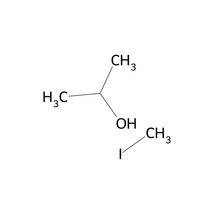 CC(C)O.CI